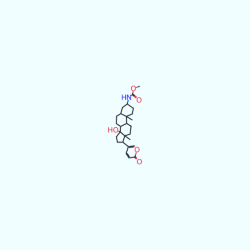 COC(=O)NC1CCC2(C)C(CCC3C2CCC2(C)C(c4ccc(=O)oc4)CCC32O)C1